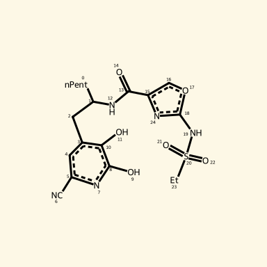 CCCCCC(Cc1cc(C#N)nc(O)c1O)NC(=O)c1coc(NS(=O)(=O)CC)n1